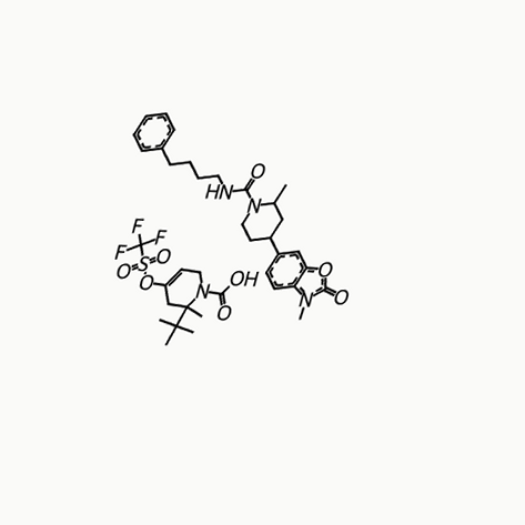 CC(C)(C)C1(C)CC(OS(=O)(=O)C(F)(F)F)=CCN1C(=O)O.CC1CC(c2ccc3c(c2)oc(=O)n3C)CCN1C(=O)NCCCCc1ccccc1